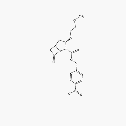 COCCS[C@@H]1CC2CC(=O)N2[C@H]1C(=O)OCc1ccc([N+](=O)[O-])cc1